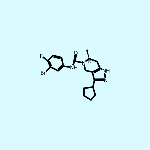 C[C@H]1Cc2[nH]nc(C3CCCC3)c2CN1C(=O)Nc1ccc(F)c(Br)c1